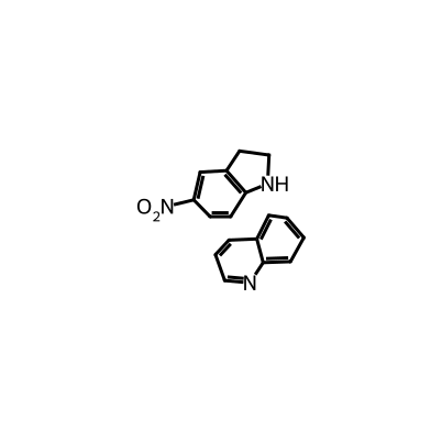 O=[N+]([O-])c1ccc2c(c1)CCN2.c1ccc2ncccc2c1